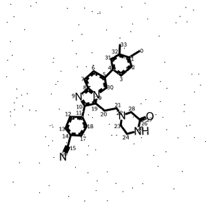 Cc1ccc(-c2ccc3nc(-c4ccc(C#N)cc4)c(CCN4CCNC(=O)C4)n3c2)cc1C